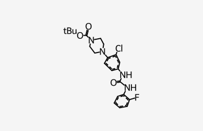 CC(C)(C)OC(=O)N1CCN(c2ccc(NC(=O)Nc3ccccc3F)cc2Cl)CC1